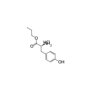 CCCOC(=O)[C@@H](N)Cc1ccc(O)cc1.Cl